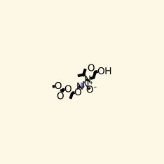 COC(=O)OC(C)O/N=[N+](\[O-])N(CC(=O)O)C(C)C